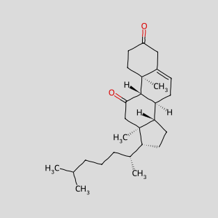 CC(C)CCC[C@@H](C)[C@H]1CC[C@H]2[C@@H]3CC=C4CC(=O)CC[C@]4(C)[C@H]3C(=O)C[C@]12C